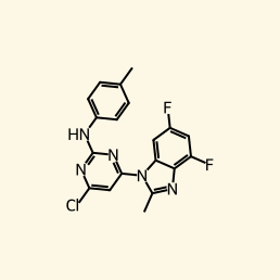 Cc1ccc(Nc2nc(Cl)cc(-n3c(C)nc4c(F)cc(F)cc43)n2)cc1